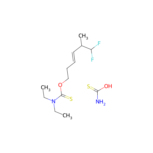 CCN(CC)C(=S)OCCC=CC(C)C(F)F.NC(O)=S